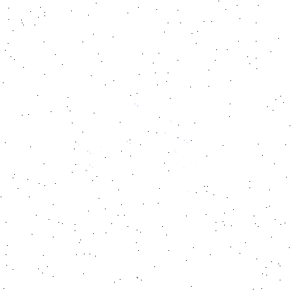 Cc1ccc(CN2CCc3c(sc(NC(=O)c4cnn(C)c4)c3C#N)C2)o1